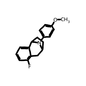 COc1ccc(N2C3CCC2c2cccc(F)c2C3)cc1